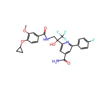 COc1cc(C(=O)NCC(O)(c2cc(C(N)=O)cc(-c3ccc(F)cc3)n2)C(F)(F)F)ccc1OC1CC1